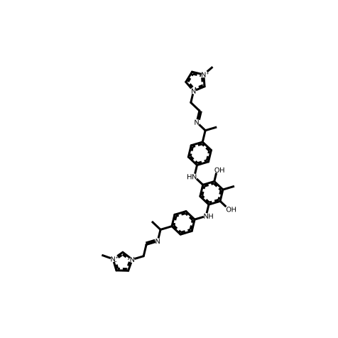 Cc1c(O)c(Nc2ccc(C(C)N=CCn3cc[n+](C)c3)cc2)cc(Nc2ccc(C(C)N=CCn3cc[n+](C)c3)cc2)c1O